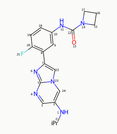 CC(C)Nc1cnc2nc(-c3cc(NC(=O)N4CCC4)ccc3F)cn2c1